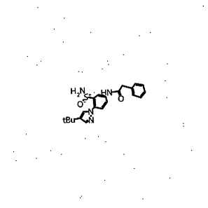 CC(C)(C)c1cnn(-c2ccc(NC(=O)Cc3ccccc3)cc2[S+](N)[O-])c1